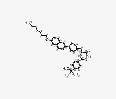 CCCCCCCOc1ccc2cc(-c3ccc(CC(NC(=O)c4ccc(C(C)(C)C)cc4)C(=O)O)cc3)ncc2c1